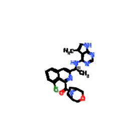 Cc1c[nH]c2ncnc(N[C@@H](C)c3cc4cccc(Cl)c4c(C(=O)N4C5CCC4COC5)n3)c12